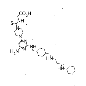 Nc1cc(N2CCN(C(=S)NCC(=O)O)CC2)nc(NCC2CCC(CNCCCNC3CCCCC3)CC2)n1